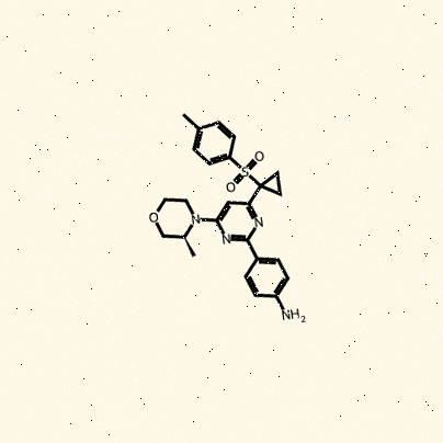 Cc1ccc(S(=O)(=O)C2(c3cc(N4CCOC[C@@H]4C)nc(-c4ccc(N)cc4)n3)CC2)cc1